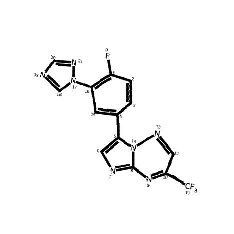 Fc1ccc(-c2cnc3nc(C(F)(F)F)cnn23)cc1-n1cncn1